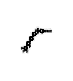 CCCCCC1CCC(C(F)(F)OC2CCC(c3ccc(-c4ccc(-c5cc(F)c(F)c(F)c5)c(F)c4)cc3)CC2)CC1